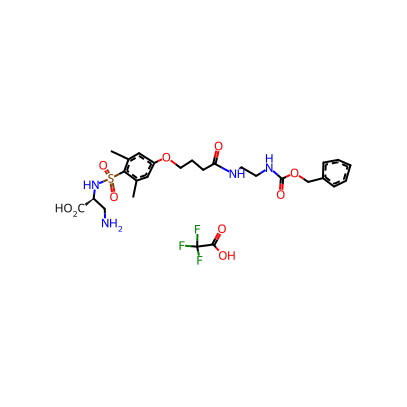 Cc1cc(OCCCC(=O)NCCNC(=O)OCc2ccccc2)cc(C)c1S(=O)(=O)N[C@@H](CN)C(=O)O.O=C(O)C(F)(F)F